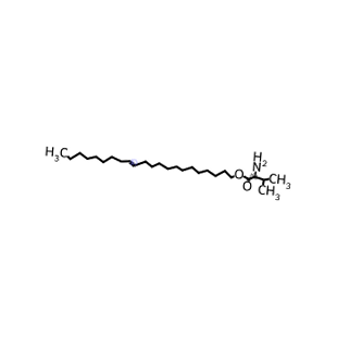 CCCCCCCC/C=C/CCCCCCCCCCCCOC(=O)[C@@H](N)C(C)C